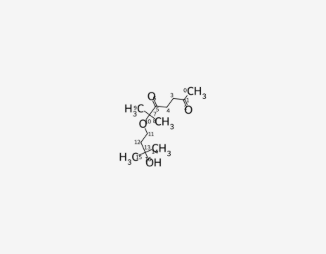 CC(=O)CCC(=O)C(C)(C)OCCC(C)(C)O